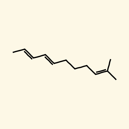 CC=CC=CCCCC=C(C)C